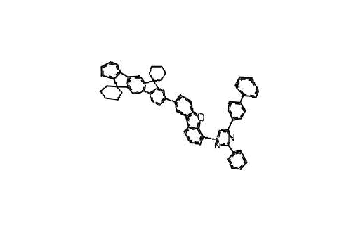 c1ccc(-c2ccc(-c3cc(-c4cccc5c4oc4ccc(-c6ccc7c(c6)C6(CCCCC6)c6cc8c(cc6-7)C6(CCCCC6)c6ccccc6-8)cc45)nc(-c4ccccc4)n3)cc2)cc1